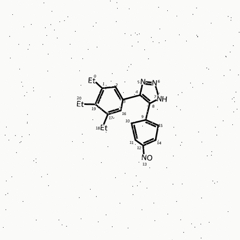 CCc1cc(-c2nn[nH]c2-c2ccc(N=O)cc2)cc(CC)c1CC